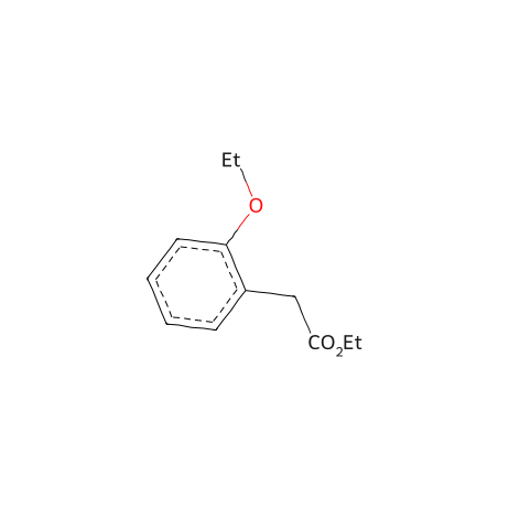 CCOC(=O)Cc1ccccc1OCC